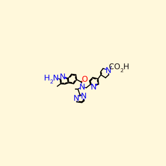 Cc1cc2cc(C(=O)N(Cc3ccc(C4=CCN(C(=O)O)CC4)cn3)C(C)c3ncccn3)ccc2nc1N